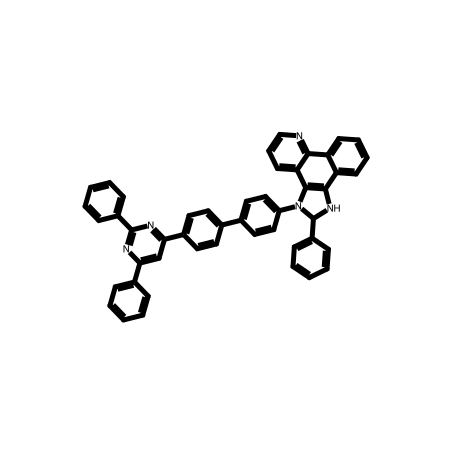 c1ccc(-c2cc(-c3ccc(-c4ccc(N5c6c(c7ccccc7c7ncccc67)NC5c5ccccc5)cc4)cc3)nc(-c3ccccc3)n2)cc1